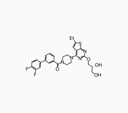 CCc1cc2c(N3CCN(C(=O)c4cccc(-c5ccc(F)c(F)c5)c4)CC3)nc(OC[C@H](O)CO)nc2s1